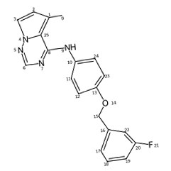 Cc1ccn2ncnc(Nc3ccc(OCc4cccc(F)c4)cc3)c12